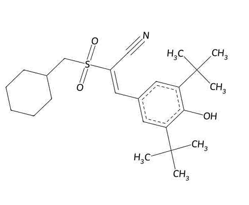 CC(C)(C)c1cc(/C=C(\C#N)S(=O)(=O)CC2CCCCC2)cc(C(C)(C)C)c1O